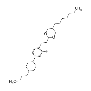 CCCCCCCC1COC(CCc2ccc(C3CCC(CCCC)CC3)cc2F)OC1